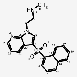 CNCCn1cc(S(=O)(=O)c2cccc3ccccc23)c2cccnc21